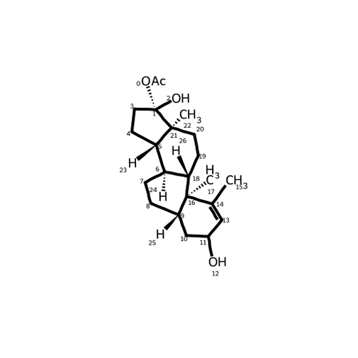 CC(=O)O[C@@]1(O)CC[C@H]2[C@@H]3CC[C@H]4CC(O)C=C(C)[C@]4(C)[C@H]3CC[C@@]21C